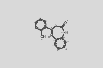 O=C1CC(c2ccccc2O)=Nc2ccccc2N1